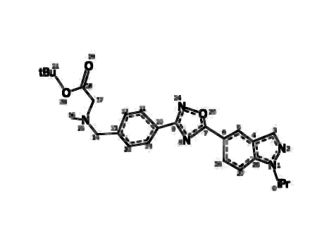 CC(C)n1ncc2cc(-c3nc(-c4ccc(CN(C)CC(=O)OC(C)(C)C)cc4)no3)ccc21